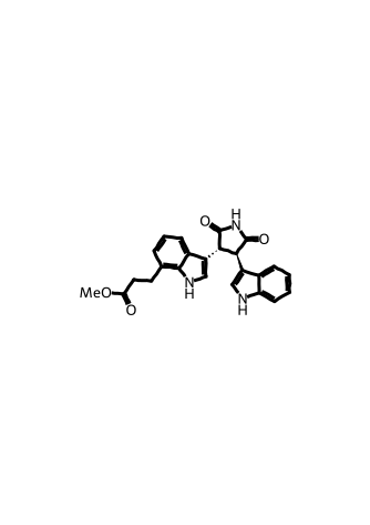 COC(=O)CCc1cccc2c([C@@H]3C(=O)NC(=O)[C@H]3c3c[nH]c4ccccc34)c[nH]c12